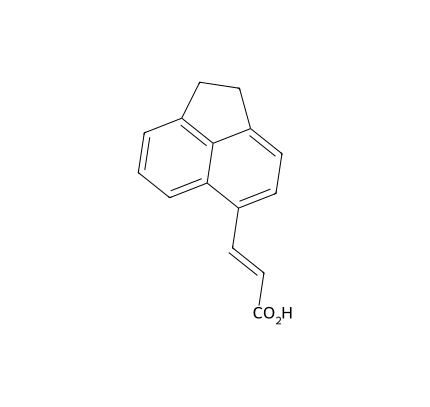 O=C(O)C=Cc1ccc2c3c(cccc13)CC2